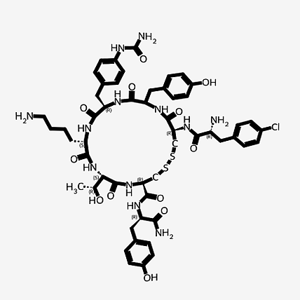 C[C@@H](O)[C@@H]1NC(=O)[C@H](CCCCN)NC(=O)[C@@H](Cc2ccc(NC(N)=O)cc2)NC(=O)C(Cc2ccc(O)cc2)NC(=O)[C@@H](NC(=O)[C@H](N)Cc2ccc(Cl)cc2)CSSC[C@@H](C(=O)N[C@H](Cc2ccc(O)cc2)C(N)=O)NC1=O